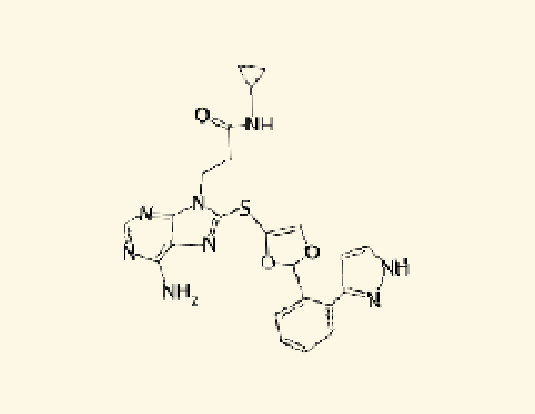 Nc1ncnc2c1nc(SC1=COC(c3ccccc3-c3cc[nH]n3)O1)n2CCC(=O)NC1CC1